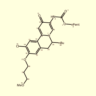 CCCCCOC(=O)Nc1cn2c(cc1=O)-c1cc(Cl)c(OCCCOC)cc1CC2CCCC